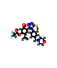 CSc1nnc(-c2cc(C(C)C)c(OC(=O)C(F)(F)F)cc2O)n1-c1ccc(CN2CCOCC2)cc1